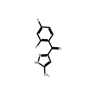 Cc1cc(C(=O)c2ccc(F)cc2F)n[nH]1